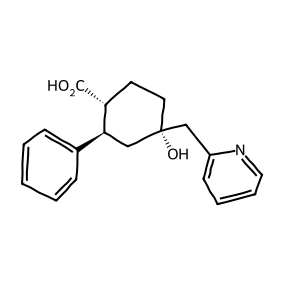 O=C(O)[C@@H]1CC[C@@](O)(Cc2ccccn2)C[C@H]1c1ccccc1